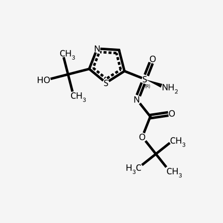 CC(C)(C)OC(=O)N=[S@@](N)(=O)c1cnc(C(C)(C)O)s1